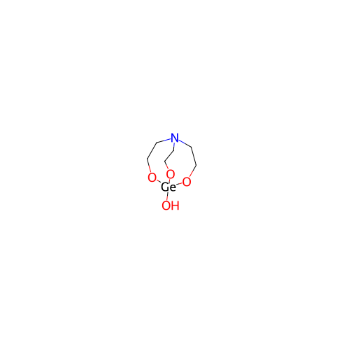 [OH][Ge]12[O]CCN(CC[O]1)CC[O]2